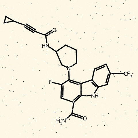 NC(=O)c1cc(F)c(N2CCCC(NC(=O)C#CC3CC3)C2)c2c1[nH]c1cc(C(F)(F)F)ccc12